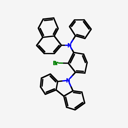 Brc1c(N(c2ccccc2)c2cccc3ccccc23)cccc1-n1c2ccccc2c2ccccc21